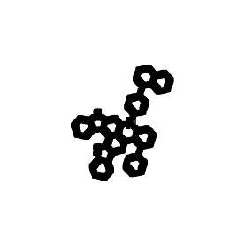 c1ccc(-c2cccc(N(c3ccc(-c4cccc5ccccc45)cc3)c3ccc4c(c3)sc3ccccc34)c2-c2ccc3sc4ccccc4c3c2)cc1